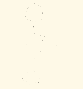 CCCCCCC[CH2][Sn]([CH2]CCCCCCC)([O]Cc1ccccc1)[O]Cc1ccccc1